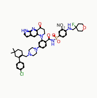 CC1(C)CCC(CN2CCN(c3ccc(C(=O)NS(=O)(=O)c4ccc(NCC5(F)CCOCC5)c([N+](=O)[O-])c4)c(N4CCC(=O)c5nc6[nH]ccc6cc54)c3)CC2)=C(c2ccc(Cl)cc2)C1